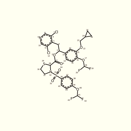 O=C(OC(Cc1c(Cl)cncc1Cl)c1ccc(OC(F)F)c(OCC2CC2)c1)C1SCCN1S(=O)(=O)c1ccc(OC(F)F)cc1